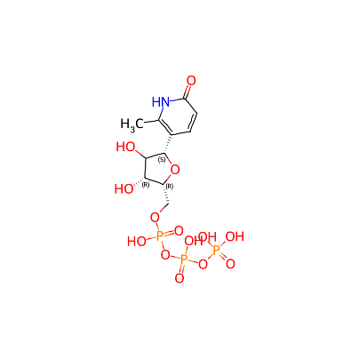 Cc1[nH]c(=O)ccc1[C@@H]1O[C@H](COP(=O)(O)OP(=O)(O)OP(=O)(O)O)[C@H](O)C1O